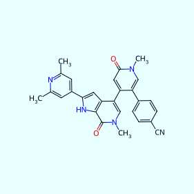 Cc1cc(-c2cc3c(-c4cc(=O)n(C)cc4-c4ccc(C#N)cc4)cn(C)c(=O)c3[nH]2)cc(C)n1